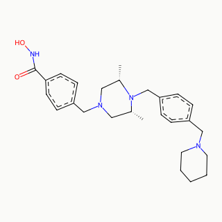 C[C@@H]1CN(Cc2ccc(C(=O)NO)cc2)C[C@H](C)N1Cc1ccc(CN2CCCCC2)cc1